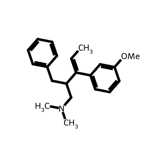 CC=C(c1cccc(OC)c1)C(Cc1ccccc1)CN(C)C